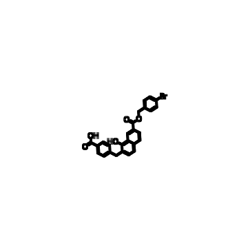 O=C(O)c1ccc(Cc2ccc3ccc(C(=O)OCc4ccc(Br)cc4)cc3c2O)cc1